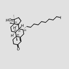 C[C@]12CCC(=O)C=C1C[C@@H](CCCCCCCCCI)[C@@H]1[C@@H]2CC[C@@]2(C)[C@H]1CC[C@]2(C)O